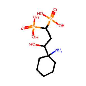 NC1(C(O)CC(P(=O)(O)O)P(=O)(O)O)CCCCC1